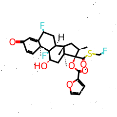 C[C@@H]1C[C@@]2(C)[C@@H]3C[C@H](F)C4=CC(=O)C=C[C@]4(C)[C@@]3(F)[C@@H](O)C[C@]2(C)[C@@]1(OC(=O)c1ccco1)C(=O)SCF